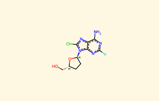 Nc1nc(F)nc2c1nc(Cl)n2[C@H]1CC[C@H](CO)O1